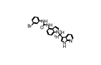 [2H]C([2H])(c1c[nH]c2ncccc12)n1ccc2c(NC(=O)Nc3cccc(Br)c3)cccc21